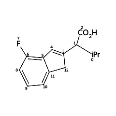 CC(C)C(C(=O)O)C1=Cc2c(F)cccc2C1